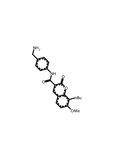 CCCCc1c(OC)ccc2cc(C(=O)Nc3ccc(CN)cc3)c(=O)oc12